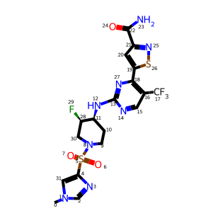 Cn1cnc(S(=O)(=O)N2CC[C@H](Nc3ncc(C(F)(F)F)c(-c4cc(C(N)=O)ns4)n3)[C@H](F)C2)c1